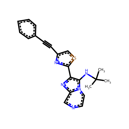 CC(C)(C)Nc1c(-c2nc(C#Cc3ccccc3)cs2)nc2cnccn12